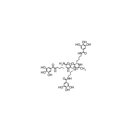 CC(=O)N[C@H](CCCCNC(=O)c1cc(O)c(O)c(O)c1)C(=O)N[C@H](CCCCNC(=O)c1cc(O)c(O)c(O)c1)C(=O)N[C@H](CCCCNC(=O)c1cc(O)c(O)c(O)c1)C(N)=O